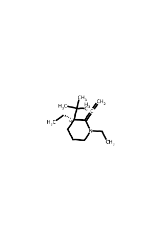 C=C=C1N(CC)CCC[C@@]1(CC)C(C)(C)C